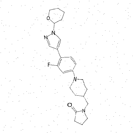 O=C1CCCN1CC1CCN(c2ccc(-c3cnn(C4CCCCO4)c3)c(F)c2)CC1